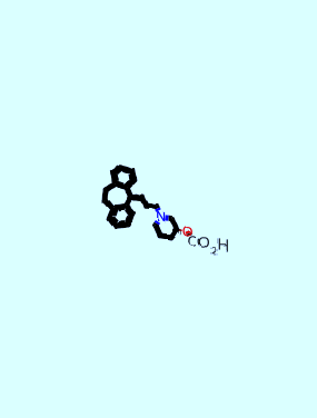 O=C(O)O[C@@H]1CCCN(CCC=C2c3ccccc3CCc3ccccc32)C1